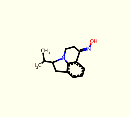 CC(C)C1Cc2cccc3c2N1CC/C3=N\O